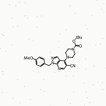 COc1ccc(Cn2ncc3c(N4CCN(C(=O)OC(C)(C)C)CC4)c(C#N)cnc32)cc1